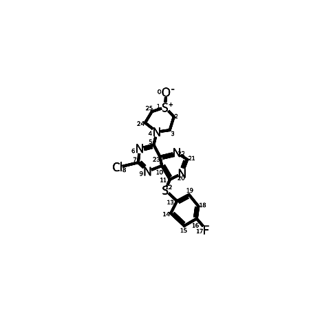 [O-][S+]1CCN(c2nc(Cl)nc3c(Sc4ccc(F)cc4)ncnc23)CC1